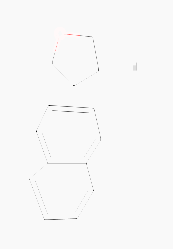 C1CCOC1.[LiH].c1ccc2ccccc2c1